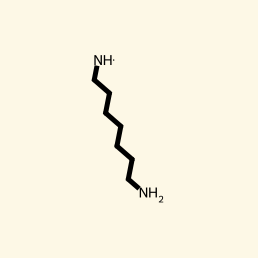 [NH]CCCCCCCN